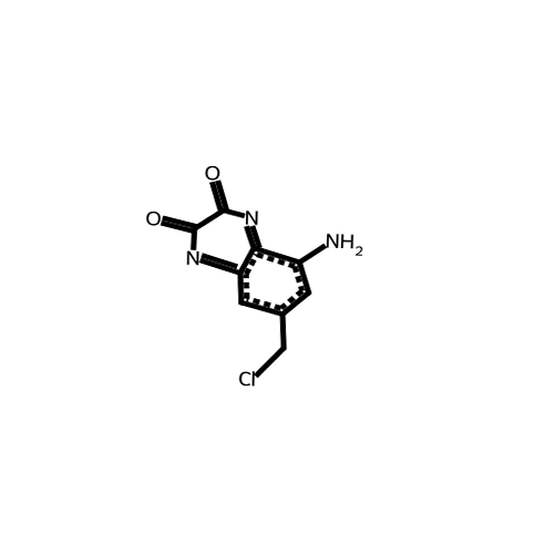 Nc1cc(CCl)cc2c1=NC(=O)C(=O)N=2